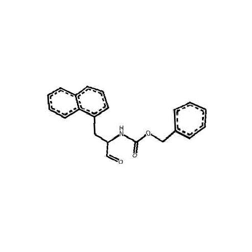 O=[C]C(Cc1cccc2ccccc12)NC(=O)OCc1ccccc1